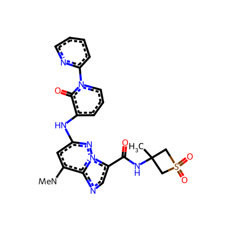 CNc1cc(Nc2cccn(-c3ccccn3)c2=O)nn2c(C(=O)NC3(C)CS(=O)(=O)C3)cnc12